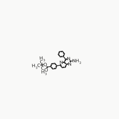 CC(C)(C)OC(=O)c1ccc(-c2ccc3nc(N)nc(-c4ccccc4)c3n2)cc1